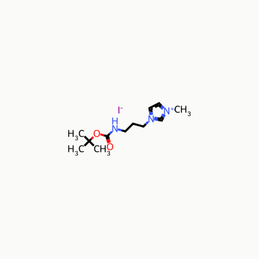 C[n+]1ccn(CCCNC(=O)OC(C)(C)C)c1.[I-]